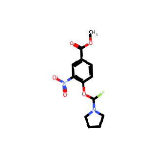 COC(=O)c1ccc(OC(F)N2CCCC2)c([N+](=O)[O-])c1